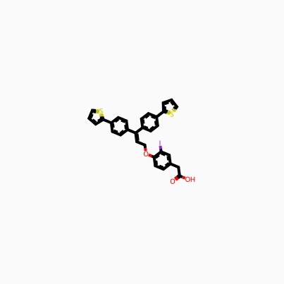 O=C(O)Cc1ccc(OCC=C(c2ccc(-c3cccs3)cc2)c2ccc(-c3cccs3)cc2)c(I)c1